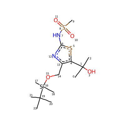 CC(C)(O)c1sc(NS(C)(=O)=O)nc1CO[Si](C)(C)C(C)(C)C